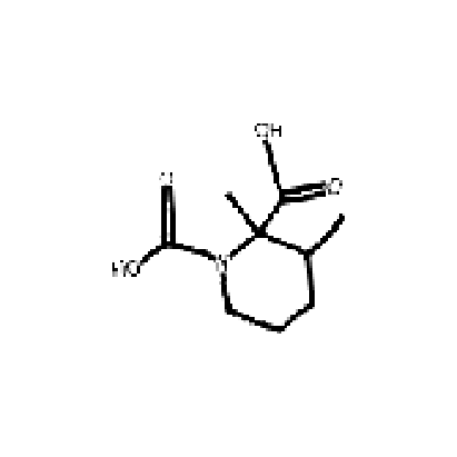 CC1CCCN(C(=O)O)C1(C)C(=O)O